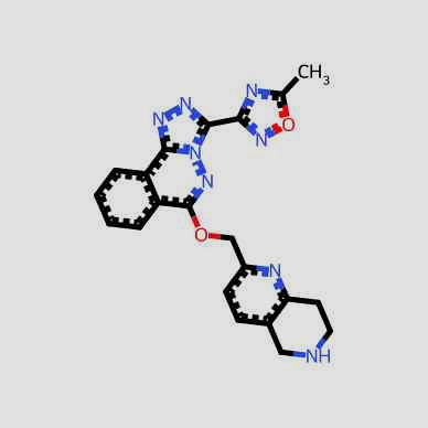 Cc1nc(-c2nnc3c4ccccc4c(OCc4ccc5c(n4)CCNC5)nn23)no1